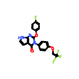 O=c1c2cc[nH]c2nc(Oc2ccc(F)cc2)n1-c1ccc(OCC(F)(F)F)cc1